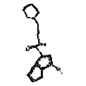 Cn1cc(C(=O)NCCN2C[CH]CC2)c2ccccc21